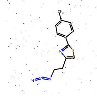 [N-]=[N+]=NCCc1csc(-c2ccc(C(F)(F)F)cc2)n1